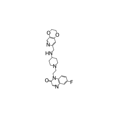 O=c1cnc2cc(F)ccc2n1CCN1CCC(NCc2cc3c(cn2)OCCO3)CC1